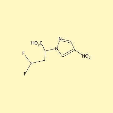 O=C(O)C(CC(F)F)n1cc([N+](=O)[O-])cn1